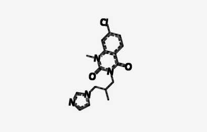 CC(Cn1ccnc1)Cn1c(=O)c2ccc(Cl)cc2n(C)c1=O